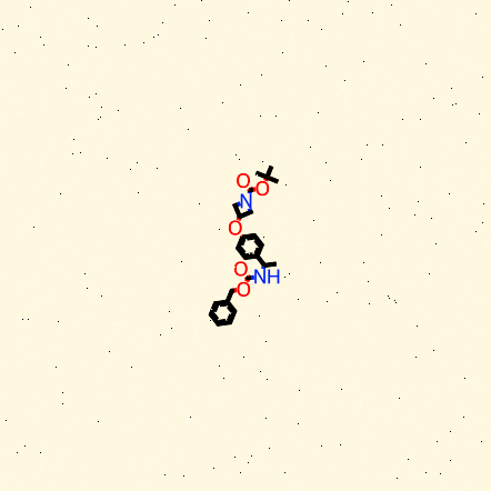 CC(NC(=O)OCc1ccccc1)c1ccc(OC2CN(C(=O)OC(C)(C)C)C2)cc1